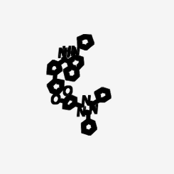 N=C(c1cccc(-c2ccc3c(c2)Oc2cc(-c4nc(-c5ccccc5)nc(-c5ccccc5)n4)ccc2O3)c1)c1c(Nc2ccccc2)ccc2ccccc12